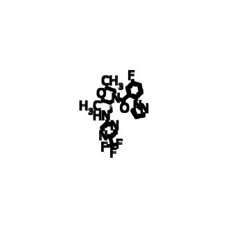 C[C@@H]1CN(C(=O)c2cc(F)ccc2-n2cccn2)[C@H](CNc2cnc(C(F)(F)F)cn2)[C@H](C)O1